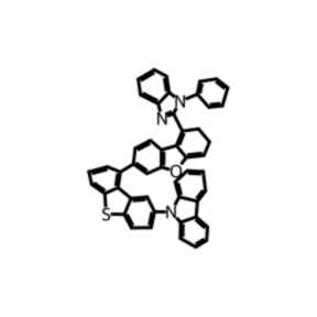 C1=c2oc3cc(-c4cccc5sc6ccc(-n7c8ccccc8c8ccccc87)cc6c45)ccc3c2=C(c2nc3ccccc3n2-c2ccccc2)CC1